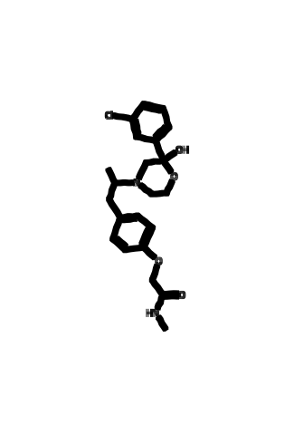 CNC(=O)COc1ccc(CC(C)N2CCOC(O)(c3cccc(Cl)c3)C2)cc1